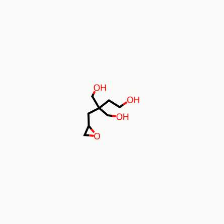 OCCC(CO)(CO)CC1CO1